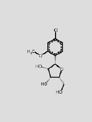 COc1cc(Cl)ccc1[C@@H]1O[C@H](CO)[C@H](O)[C@@H]1O